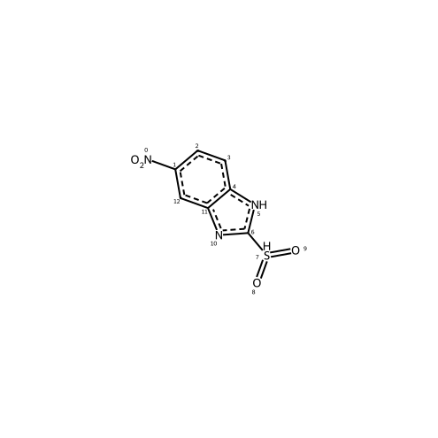 O=[N+]([O-])c1ccc2[nH]c([SH](=O)=O)nc2c1